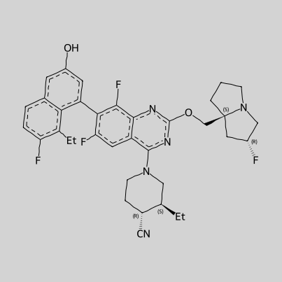 CCc1c(F)ccc2cc(O)cc(-c3c(F)cc4c(N5CC[C@@H](C#N)[C@H](CC)C5)nc(OC[C@@]56CCCN5C[C@H](F)C6)nc4c3F)c12